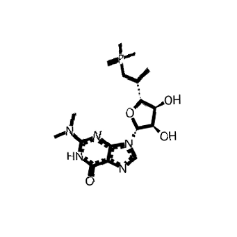 C=P(C)(C)CC(C)[C@H]1O[C@@H](n2cnc3c(=O)[nH]c(N(C)C)nc32)[C@H](O)[C@@H]1O